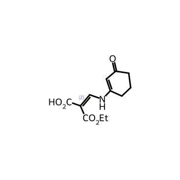 CCOC(=O)/C(=C\NC1=CC(=O)CCC1)C(=O)O